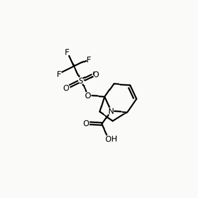 O=C(O)N1C2C=CCC1(OS(=O)(=O)C(F)(F)F)CC2